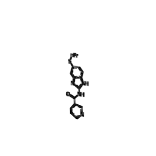 CCCSc1ccc2[nH]c(NC(=O)c3cccnc3)nc2c1